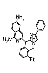 CCc1cccc(C(c2cc3cc(N)ccc3c(N)n2)c2nc(-c3ccccc3)c[nH]2)c1F